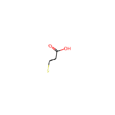 O=C(O)CC[S]